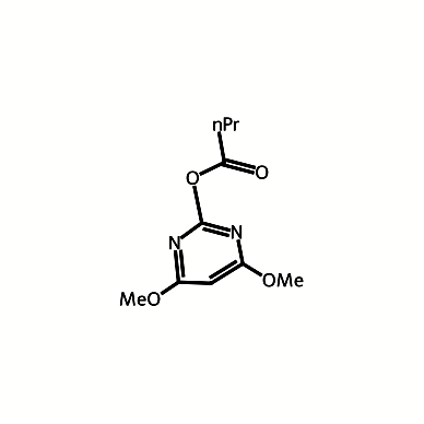 CCCC(=O)Oc1nc(OC)cc(OC)n1